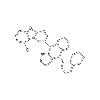 Clc1cccc2oc3ccc(-c4c5ccccc5c(-c5cccc6ccccc56)c5ccccc45)cc3c12